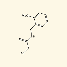 COc1ccccc1CNC(=O)CC(C)=O